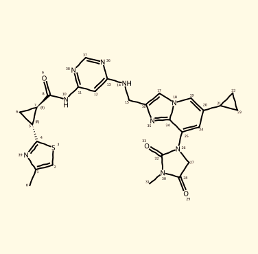 Cc1csc([C@@H]2C[C@H]2C(=O)Nc2cc(NCc3cn4cc(C5CC5)cc(N5CC(=O)N(C)C5=O)c4n3)ncn2)n1